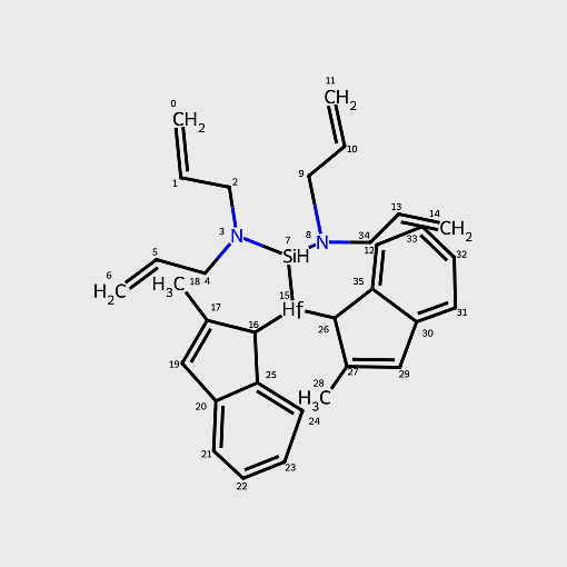 C=CCN(CC=C)[SiH](N(CC=C)CC=C)[Hf]([CH]1C(C)=Cc2ccccc21)[CH]1C(C)=Cc2ccccc21